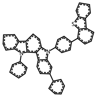 c1ccc(-c2ccc3c4c(ccc5c6ccccc6n(-c6ccccc6)c54)n(-c4ccc(-c5cccc6c5sc5ccccc56)cc4)c3c2)cc1